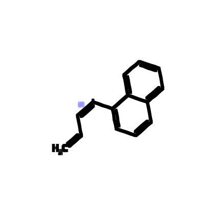 C=C/C=[C]\c1cccc2ccccc12